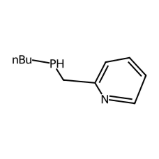 CCCCPCc1ccccn1